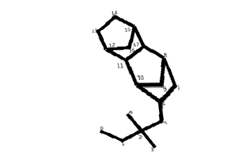 CCC(C)(C)CC1CC2CC1C1C3CCC(C3)C21